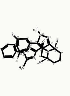 Cc1nc(C(=O)N2[C@@H]3CCC[C@H]2c2nn(C)c(-c4cc(F)cc(F)c4)c2C3)nn1-c1ccccc1